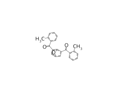 Cc1ccccc1C(=O)c1cc2cc(C(=O)c3ccccc3C)c1o2